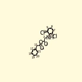 O=C(CNc1c(Cl)cccc1Cl)OC(=O)Cc1ccccc1